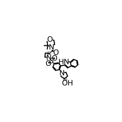 CC1(C)COCCN1C(=O)[C@@H]1CCN1S(=O)(=O)c1ccc(N2CC[C@H](O)C2)c(-c2cc3ccccc3[nH]2)c1